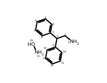 NCC(c1ccccc1)c1ccccc1.NO